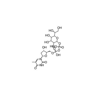 Cc1cn([C@H]2C[C@H](O)[C@@H](COP(=O)(O)OP(=O)(O)OC3OC([C@@H](O)CO)C(O)C(O)C3O)O2)c(=O)[nH]c1=O